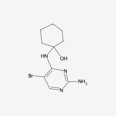 Nc1ncc(Br)c(NC2(O)CCCCC2)n1